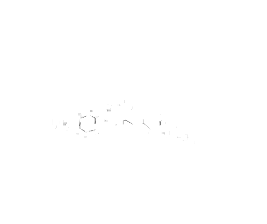 CCOC(=O)C=CC=CCC(OC)c1ccc(OC)cc1